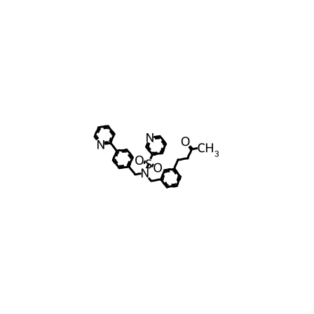 CC(=O)CCc1cccc(CN(Cc2ccc(-c3ccccn3)cc2)S(=O)(=O)c2cccnc2)c1